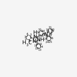 CC1CC=CC=C1C1=NC(c2ccccc2)NC(C2C=C(n3c4ccccc4c4ccccc43)C=CC2)N1